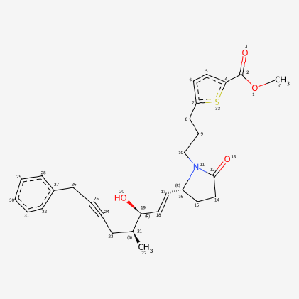 COC(=O)c1ccc(CCCN2C(=O)CC[C@@H]2C=C[C@H](O)[C@@H](C)CC#CCc2ccccc2)s1